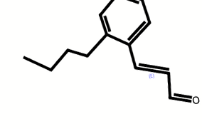 CCCCc1ccccc1/C=C/C=O